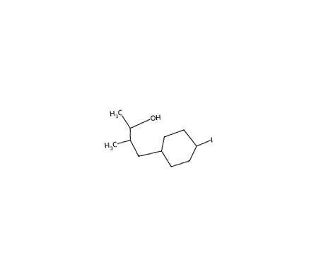 CC(O)C(C)CC1CCC(I)CC1